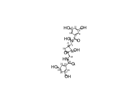 C[C@@]1(CN(O)C(=O)c2cc(O)cc(O)c2)CO[C@H](CNC(=O)c2cc(O)cc(O)c2)[C@H]1O